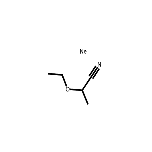 CCOC(C)C#N.[Ne]